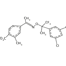 CCOC(=O)c1ccc(/C(C)=N/OC(C)(c2cc(Cl)cc(Cl)c2)C(F)(F)F)cc1C